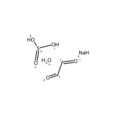 O.O=CC=O.O=S(O)O.[NaH]